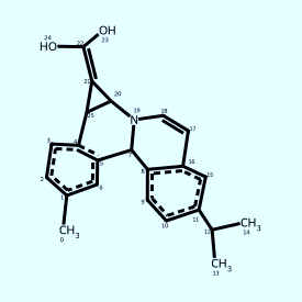 Cc1ccc2c(c1)C1c3ccc(C(C)C)cc3C=CN1C1C(=C(O)O)C21